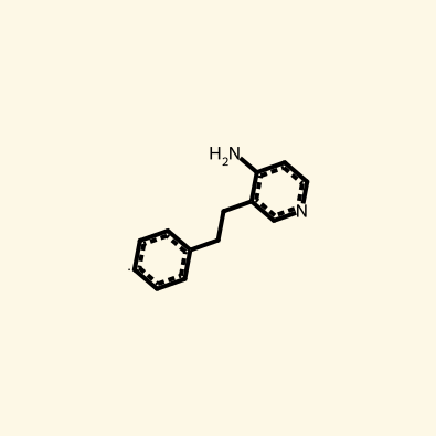 Nc1ccncc1CCc1cc[c]cc1